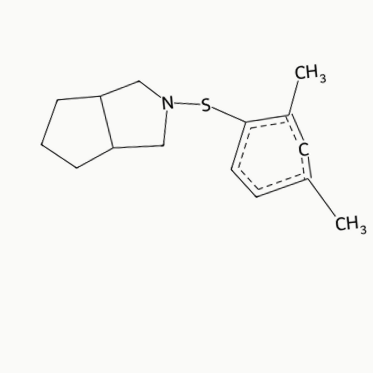 Cc1ccc(SN2CC3CCCC3C2)c(C)c1